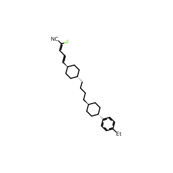 CCc1ccc([C@H]2CC[C@H](CCCC[C@H]3CC[C@H](C=CC=C(F)C#N)CC3)CC2)cc1